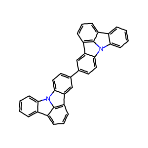 c1ccc2c(c1)c1cccc3c4cc(-c5ccc6c(c5)c5cccc7c8ccccc8n6c75)ccc4n2c13